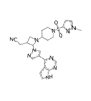 Cn1ccc(S(=O)(=O)N2CCC(N3CC(CC#N)C3n3cc(-c4ncnc5[nH]ccc45)cn3)CC2)n1